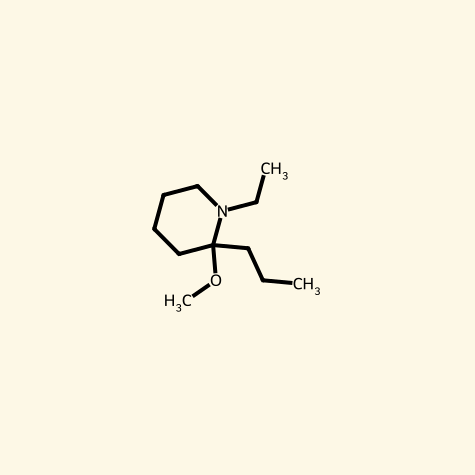 CCCC1(OC)CCCCN1CC